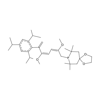 C=C(/C(=C\C=C(/CP1C(C)(C)CC2(CC1(C)C)OCCO2)OC)OC)c1c(C(C)C)cc(C(C)C)cc1C(C)C